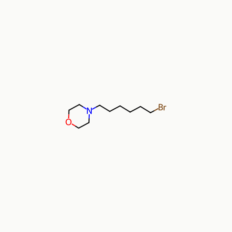 BrCCCCCCN1CCOCC1